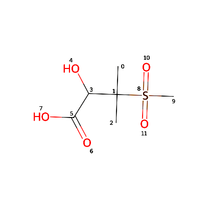 CC(C)(C(O)C(=O)O)S(C)(=O)=O